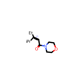 CC/C(=C/C(=O)N1CCOCC1)C(C)C